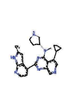 CN(c1nc(-c2ccnc3[nH]c(C(F)(F)F)cc23)nc2cncc(C3CC3)c12)[C@@H]1CCNC1